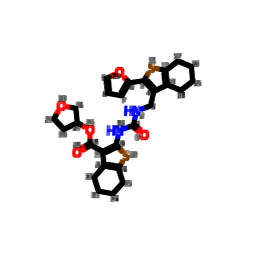 O=C(NCc1c(-c2ccco2)sc2c1CCCC2)Nc1sc2c(c1C(=O)OC1CCOC1)CCCC2